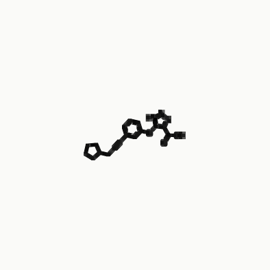 O=C(O)c1nn[nH]c1Oc1cccc(C#CCC2CCCC2)c1